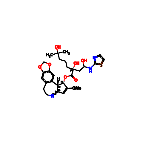 COC1=C[C@]23CCCN2CCc2cc4c(cc2[C@@H]3[C@@H]1OC(=O)[C@@](O)(CCCC(C)(C)O)CC(O)Nc1nccs1)OCO4